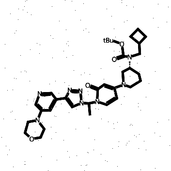 CC(n1cc(-c2cncc(N3CCOCC3)c2)nn1)n1ccc(N2CCC[C@@H](N(CC3CCC3)C(=O)OC(C)(C)C)C2)cc1=O